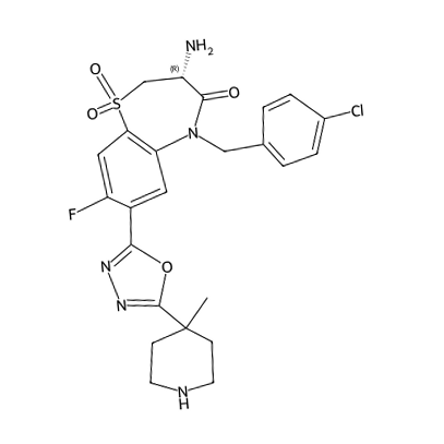 CC1(c2nnc(-c3cc4c(cc3F)S(=O)(=O)C[C@H](N)C(=O)N4Cc3ccc(Cl)cc3)o2)CCNCC1